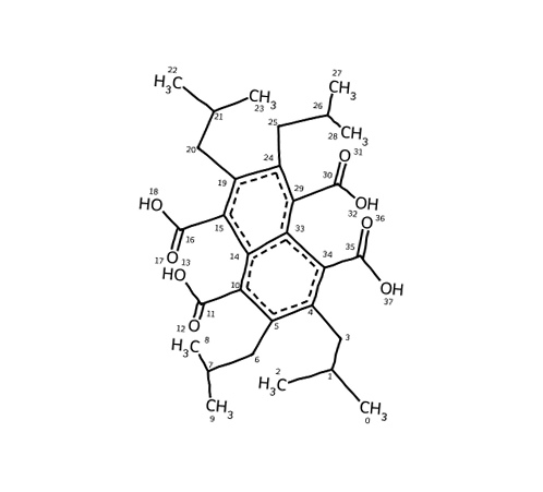 CC(C)Cc1c(CC(C)C)c(C(=O)O)c2c(C(=O)O)c(CC(C)C)c(CC(C)C)c(C(=O)O)c2c1C(=O)O